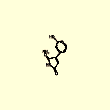 N.O=C1C=C(c2cccc(O)c2)C(=O)N1